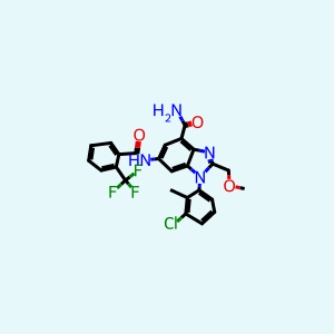 COCc1nc2c(C(N)=O)cc(NC(=O)c3ccccc3C(F)(F)F)cc2n1-c1cccc(Cl)c1C